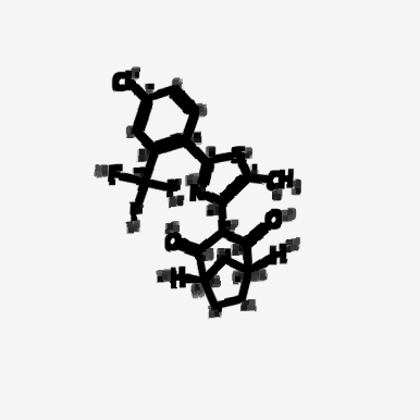 Cc1sc(-c2ccc(Cl)cc2C(F)(F)F)nc1C1C(=O)[C@@H]2CC[C@@H](C2)C1=O